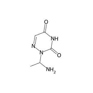 CC(N)n1ncc(=O)[nH]c1=O